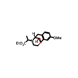 CCOC(=O)C(C)N1CC[C@]23CCCC[C@H]2[C@H]1Cc1ccc(OC)cc13